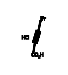 CC(C)C#CC(=O)O.Cl